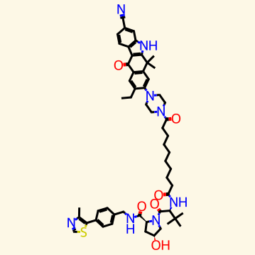 CCc1cc2c(cc1N1CCN(C(=O)CCCCCCCCC(=O)N[C@H](C(=O)N3C[C@H](O)C[C@H]3C(=O)NCc3ccc(-c4scnc4C)cc3)C(C)(C)C)CC1)C(C)(C)c1[nH]c3cc(C#N)ccc3c1C2=O